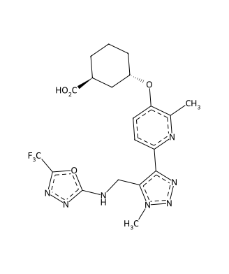 Cc1nc(-c2nnn(C)c2CNc2nnc(C(F)(F)F)o2)ccc1O[C@H]1CCC[C@H](C(=O)O)C1